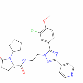 COc1ccc(-c2nc(-c3ccncc3)nn2CCNC(=O)[C@@H]2CCC(=O)N2C2CCCC2)cc1Cl